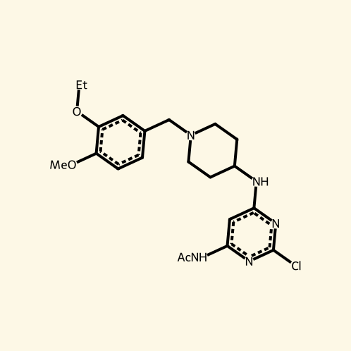 CCOc1cc(CN2CCC(Nc3cc(NC(C)=O)nc(Cl)n3)CC2)ccc1OC